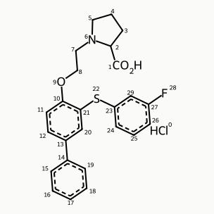 Cl.O=C(O)C1CCCN1CCOc1ccc(-c2ccccc2)cc1Sc1cccc(F)c1